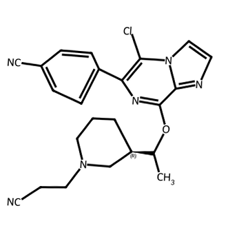 CC(Oc1nc(-c2ccc(C#N)cc2)c(Cl)n2ccnc12)[C@@H]1CCCN(CCC#N)C1